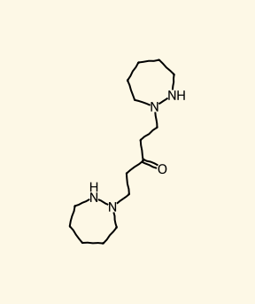 O=C(CCN1CCCCCN1)CCN1CCCCCN1